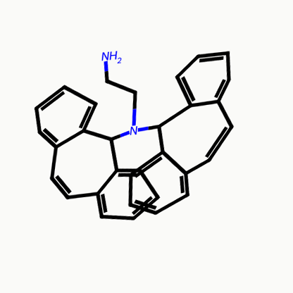 NCCN(C1c2ccccc2C=Cc2ccccc21)C1c2ccccc2C=Cc2ccccc21